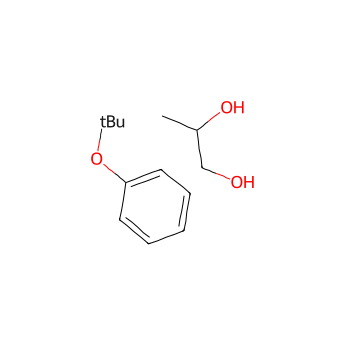 CC(C)(C)Oc1ccccc1.CC(O)CO